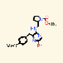 COc1ccc(Cc2nc(Br)cnc2NCC2CCCN2C(=O)OC(C)(C)C)cc1